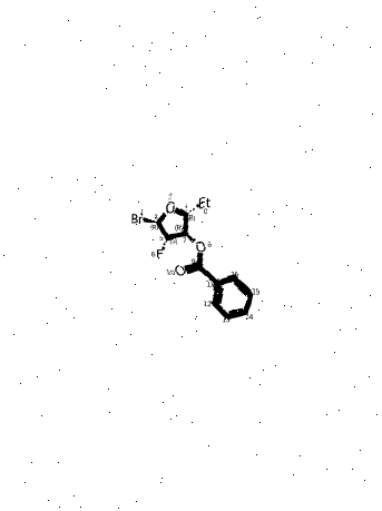 CC[C@H]1O[C@H](Br)[C@@H](F)[C@@H]1OC(=O)c1ccccc1